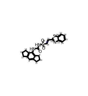 O=C(Nc1c2c(cc3c1CCC3)CCC2)NS(=O)(=O)/C=C/c1nc2ccccc2s1